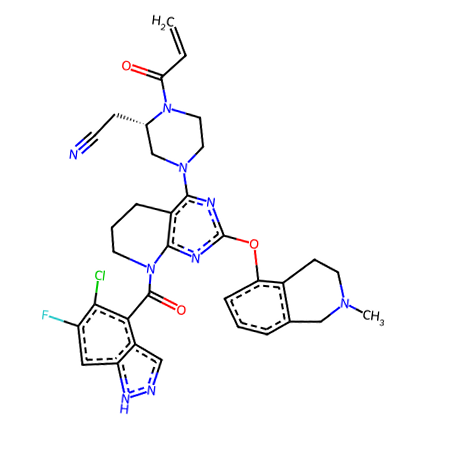 C=CC(=O)N1CCN(c2nc(Oc3cccc4c3CCN(C)C4)nc3c2CCCN3C(=O)c2c(Cl)c(F)cc3[nH]ncc23)C[C@@H]1CC#N